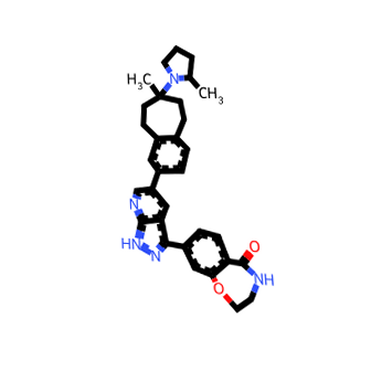 CC1CCCN1C1(C)CCc2ccc(-c3cnc4[nH]nc(-c5ccc6c(c5)OCCNC6=O)c4c3)cc2CC1